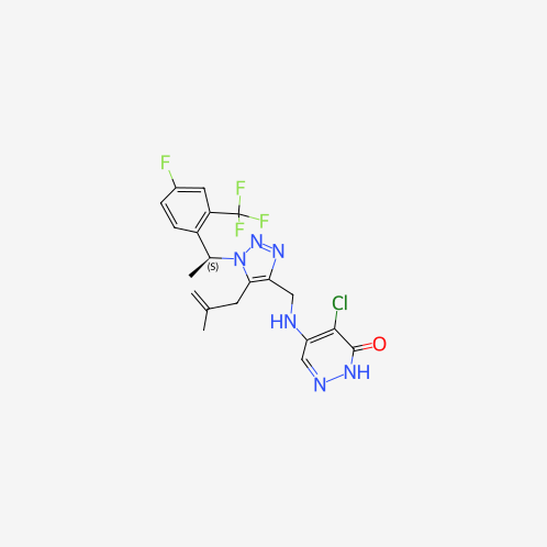 C=C(C)Cc1c(CNc2cn[nH]c(=O)c2Cl)nnn1[C@@H](C)c1ccc(F)cc1C(F)(F)F